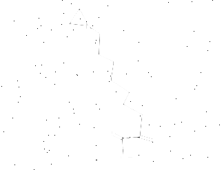 C=C(CCCCCCCN1CC1)C(=O)O